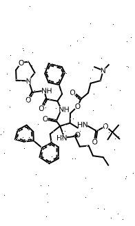 CCCCCC(=O)NC(Cc1ccccc1-c1ccccc1)(C(=O)NC(Cc1ccccc1)C(=O)NC(=O)N1CCOCC1)C(CNC(=O)OC(C)(C)C)COC(=O)CCCN(C)C